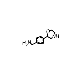 NCc1ccc(C2CNCCO2)cc1